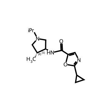 CC(C)N1C[C@@H](C)[C@H](NC(=O)c2cnc(C3CC3)o2)C1